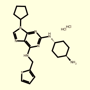 Cl.Cl.N[C@H]1CC[C@H](Nc2nc(NCc3cccs3)c3ncn(C4CCCC4)c3n2)CC1